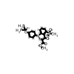 BC(F)(P)Oc1ccc(-n2nc(C(=O)OC)c(=O)c3c(S(C)(=O)=O)cccc32)cc1